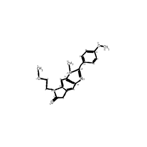 COCCN1C(=O)Cc2cc3nc(-c4ccc(OC)cc4)n(C)c3cc21